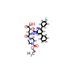 CCOC(=O)N1CCN(C(=O)C(CCC(=O)O)NC(=O)c2cc(-c3ccccc3)cc(-c3ccc(F)cc3)n2)CC1